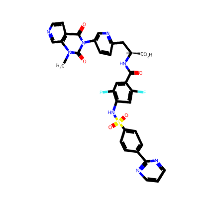 Cn1c(=O)n(-c2ccc(C[C@H](NC(=O)c3cc(F)c(NS(=O)(=O)c4ccc(-c5ncccn5)cc4)cc3F)C(=O)O)nc2)c(=O)c2ccncc21